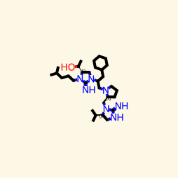 CC(C)CCCN1C(=N)N(C(CC2CCCCC2)CN2CCC[C@H]2CN2C(=N)NC[C@H]2C(C)C)C[C@H]1C(C)O